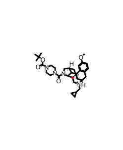 COc1ccc2c(c1)[C@]13CCN(CC4CC4)[C@H](C2)[C@]12CCC1C3[C@@H](CN1C(=O)N1CCN(C(=O)OC(C)(C)C)CC1)C2